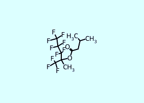 CC(C)CC(=O)OC(C)(C(F)(F)F)C(F)(F)C(F)(F)C(F)(F)F